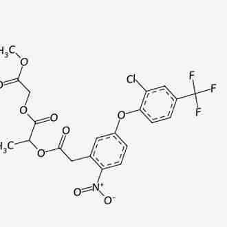 COC(=O)COC(=O)C(C)OC(=O)Cc1cc(Oc2ccc(C(F)(F)F)cc2Cl)ccc1[N+](=O)[O-]